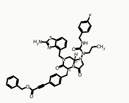 CCCN(C(=O)NCc1ccc(F)cc1)N1CC(=O)N2[C@@H](Cc3ccc(C#CC(=O)OCc4ccccc4)cc3)C(=O)N(Cc3cccc4sc(N)nc34)C[C@@H]21